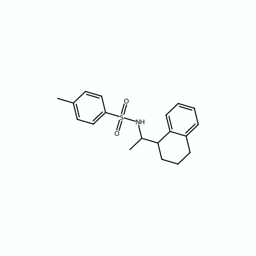 Cc1ccc(S(=O)(=O)NC(C)C2CCCc3ccccc32)cc1